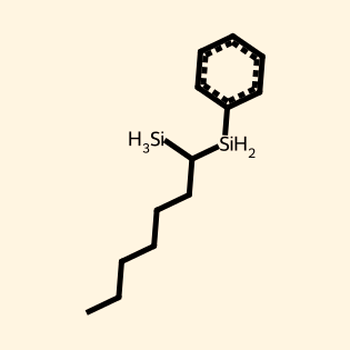 CCCCCCC([SiH3])[SiH2]c1ccccc1